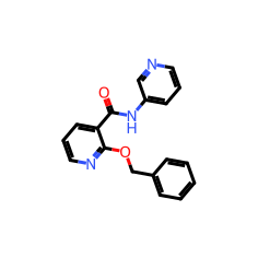 O=C(Nc1cccnc1)c1cccnc1OCc1ccccc1